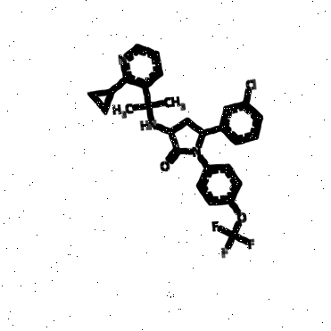 CC(C)(NC1CC(c2cccc(Cl)c2)N(c2ccc(OC(F)(F)F)cc2)C1=O)c1cccnc1C1CC1